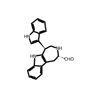 O=C[C@@H]1Cc2c([nH]c3ccccc23)[C@@H](c2c[nH]c3ccccc23)CN1